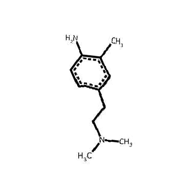 Cc1cc(CCN(C)C)ccc1N